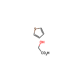 O=C(O)CO.c1ccsc1